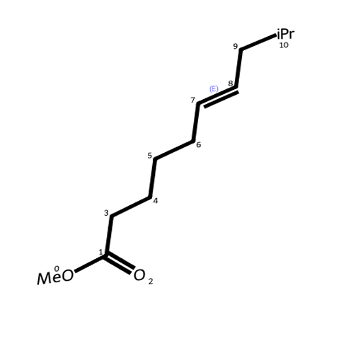 COC(=O)CCCC/C=C/CC(C)C